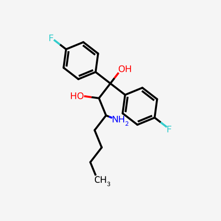 CCCCC(N)C(O)C(O)(c1ccc(F)cc1)c1ccc(F)cc1